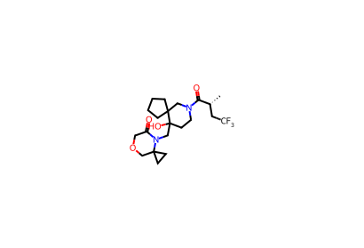 C[C@H](CC(F)(F)F)C(=O)N1CCC(O)(CN2C(=O)COCC23CC3)C2(CCCC2)C1